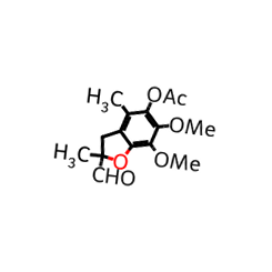 COc1c(OC(C)=O)c(C)c2c(c1OC)OC(C)(C=O)C2